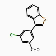 O=Cc1cc(Cl)cc(-c2csc3ccccc23)c1